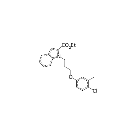 CCOC(=O)c1cc2ccccc2n1CCCOc1ccc(Cl)c(C)c1